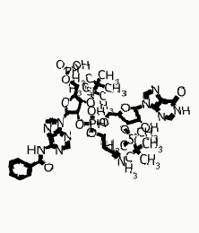 CC(C)(C)[Si](C)(C)O[C@@H]1C(CO[PH](O)(OCCC#N)O[C@H]2C(n3cnc4c(NC(=O)c5ccccc5)ncnc43)OC(CO[PH](=O)O)[C@H]2O[Si](C)(C)C(C)(C)C)OC(n2cnc3c(=O)[nH]cnc32)[C@@H]1O